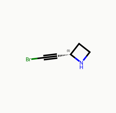 BrC#C[C@@H]1CCN1